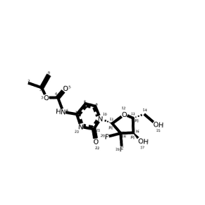 C=C(C)OC(=O)Nc1ccn([C@@H]2O[C@H](CO)[C@@H](O)C2(F)F)c(=O)n1